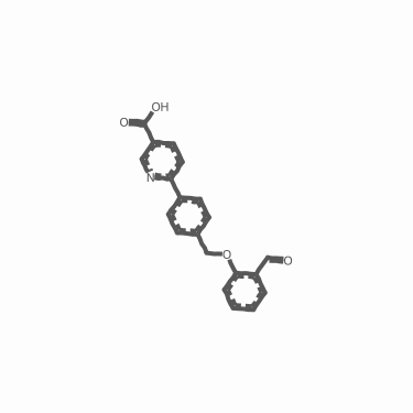 O=Cc1ccccc1OCc1ccc(-c2ccc(C(=O)O)cn2)cc1